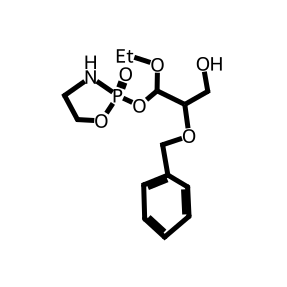 CCOC(OP1(=O)NCCO1)C(CO)OCc1ccccc1